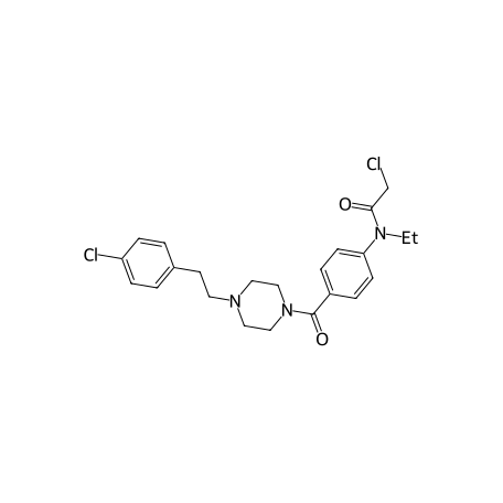 CCN(C(=O)CCl)c1ccc(C(=O)N2CCN(CCc3ccc(Cl)cc3)CC2)cc1